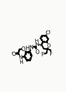 O=C1COc2c(cccc2NC(=O)N[C@@H]2CC(CF)(CF)Oc3cc(Cl)ccc32)N1